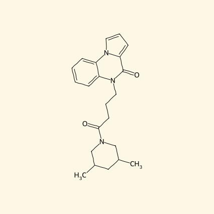 CC1CC(C)CN(C(=O)CCCn2c(=O)c3cccn3c3ccccc32)C1